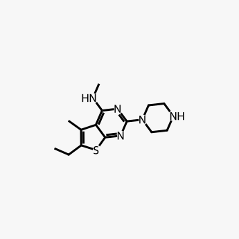 CCc1sc2nc(N3CCNCC3)nc(NC)c2c1C